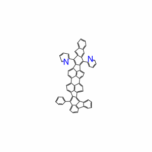 c1ccc(-c2c3cccc4c5ccccc5c(c34)c3c4ccc5c6ccc7c8c(ccc(c9ccc(c23)c4c95)c86)-c2c-7c(-c3ccccn3)c3cc4ccccc4cc3c2-c2ccccn2)cc1